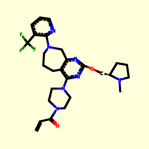 C=CC(=O)N1CCN(c2nc(OC[C@@H]3CCCN3C)nc3c2CCCN(c2ncccc2C(F)(F)F)C3)CC1